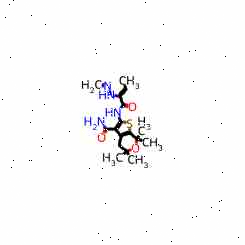 C=NN/C(=C\C)C(=O)Nc1sc2c(c1C(N)=O)CC(C)(C)OC2(C)C